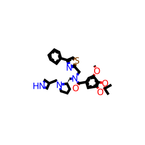 COc1cc(C(=O)N(Cc2nc(-c3ccccc3)cs2)C[C@@H]2CCCN2CC2CNC2)cc2c1OC(C)(C)O2